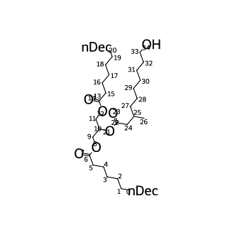 CCCCCCCCCCCCCCCC(=O)OCC(COC(=O)CCCCCCCCCCCCCCC)OC(=O)CC(C)CCCCCCCO